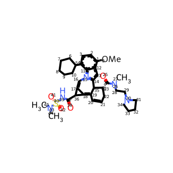 COc1ccc(C2CCCCC2)c2c1cc1n2C=C2C(=C3C=CC[C@@H](C(=O)N(C)CCN4CCCC4)C31)C2C(=O)NS(=O)(=O)N(C)C